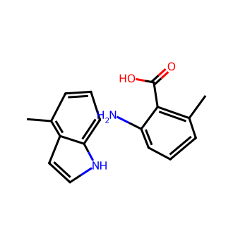 Cc1cccc(N)c1C(=O)O.Cc1cccc2[nH]ccc12